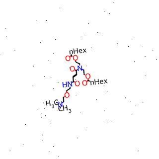 CCCCCCC(=O)OCCN(CCOC(=O)CCCCCC)C(=O)C=CC(=O)NCCOCCN(C)C